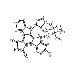 CC(C)(C)[Si](C)(C)O[C@H]1C=CC(n2c3ccccc3c3c4c(c5c6ccc(Cl)cc6[nH]c5c32)C(=O)NC4=O)C1